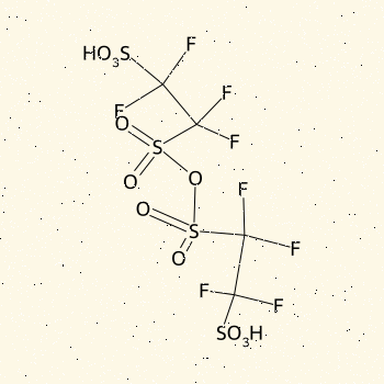 O=S(=O)(O)C(F)(F)C(F)(F)S(=O)(=O)OS(=O)(=O)C(F)(F)C(F)(F)S(=O)(=O)O